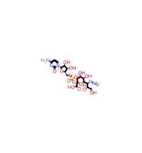 [N-]=[N+]=NC(C1O[C@](OP(=O)(O)OC[C@H]2O[C@@H](n3ccc(N)nc3=O)[C@@H](O)[C@H]2O)(C(=O)O)CC(O)[C@H]1O)[C@H](O)CO